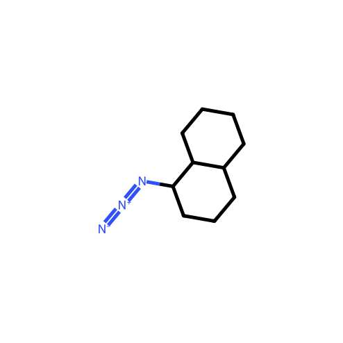 [N-]=[N+]=NC1CCCC2CCCCC21